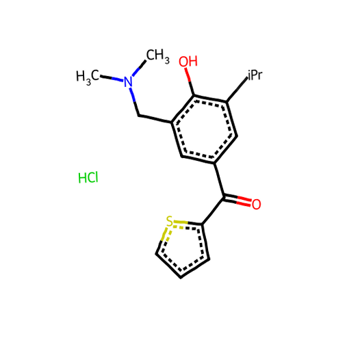 CC(C)c1cc(C(=O)c2cccs2)cc(CN(C)C)c1O.Cl